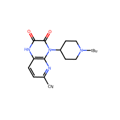 CC(C)(C)N1CCC(n2c(=O)c(=O)[nH]c3ccc(C#N)nc32)CC1